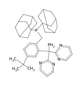 CC(C)(C)c1ccc(CP(C23CC4CC(CC(C4)C2)C3)C23CC4CC(CC(C4)C2)C3)c(C(P)(c2ncccn2)c2ncccn2)c1